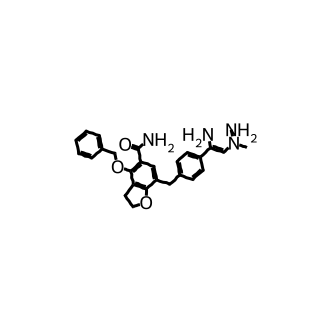 CN(N)/C=C(\N)c1ccc(Cc2cc(C(N)=O)c(OCc3ccccc3)c3c2OCC3)cc1